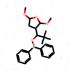 COC1CC(C(O[SiH](c2ccccc2)c2ccccc2)C(C)(C)C)C(OC)O1